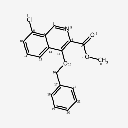 COC(=O)c1ncc2c(Cl)cccc2c1OCc1ccccc1